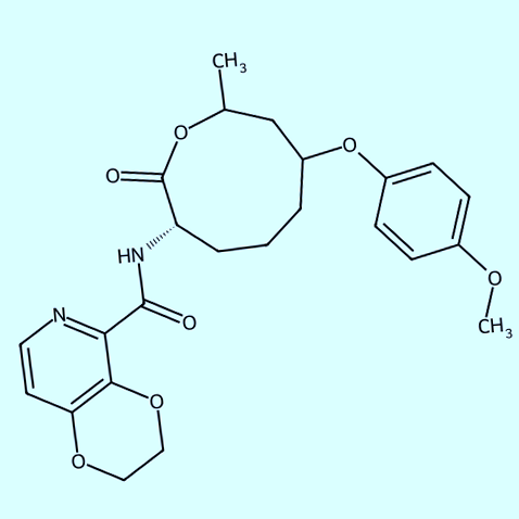 COc1ccc(OC2CCC[C@H](NC(=O)c3nccc4c3OCCO4)C(=O)OC(C)C2)cc1